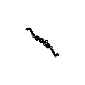 CC/C=C\CCCCOc1ccc(-c2ccc(C(=O)Oc3ccc(OCCCCC[C@@H](C)CC)cc3)cc2)cc1